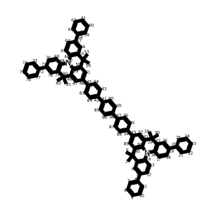 CC1(C)c2cc(-c3ccccc3)ccc2N2c3ccc(-c4ccccc4)cc3C(C)(C)c3cc(-c4ccc(-c5ccc(-c6ccc(-c7cc8c9c(c7)C(C)(C)c7cc(-c%10ccccc%10)ccc7N9c7ccc(-c9ccccc9)cc7C8(C)C)cc6)cc5)cc4)cc1c32